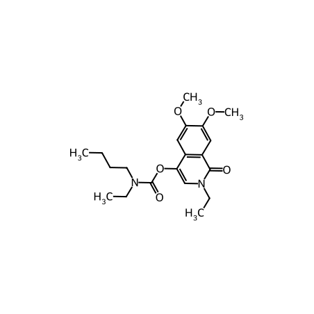 CCCCN(CC)C(=O)Oc1cn(CC)c(=O)c2cc(OC)c(OC)cc12